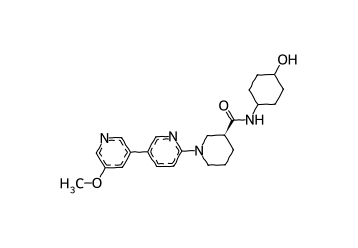 COc1cncc(-c2ccc(N3CCC[C@H](C(=O)NC4CCC(O)CC4)C3)nc2)c1